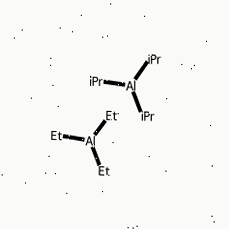 C[CH2][Al]([CH2]C)[CH2]C.C[CH](C)[Al]([CH](C)C)[CH](C)C